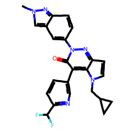 Cn1cc2cc(-n3nc4ccn(CC5CC5)c4c(-c4ccc(C(F)F)nc4)c3=O)ccc2n1